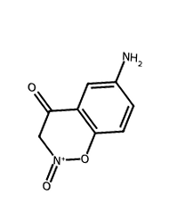 Nc1ccc2c(c1)C(=O)C[N+](=O)O2